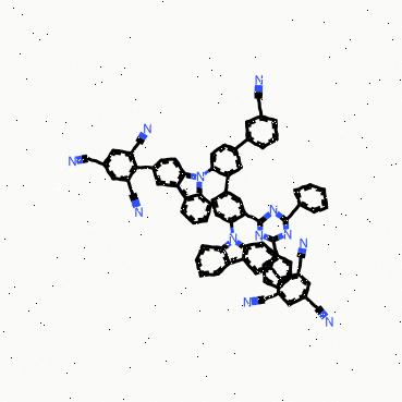 N#Cc1cccc(-c2ccc(-n3c4ccccc4c4cc(-c5c(C#N)cc(C#N)cc5C#N)ccc43)c(-c3ccc(-n4c5ccccc5c5cc(-c6c(C#N)cc(C#N)cc6C#N)ccc54)c(-c4nc(-c5ccccc5)nc(-c5ccccc5)n4)c3)c2)c1